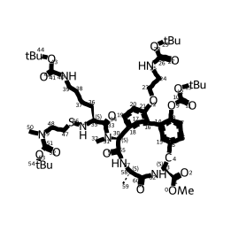 COC(=O)[C@@H]1Cc2ccc(OC(=O)OC(C)(C)C)c(c2)-c2cc(ccc2OCCNC(=O)OC(C)(C)C)[C@H](N(C)C(=O)[C@H](CCCCNC(=O)OC(C)(C)C)NSCCN(C)C(=O)OC(C)(C)C)C(=O)N[C@@H](C)C(=O)N1